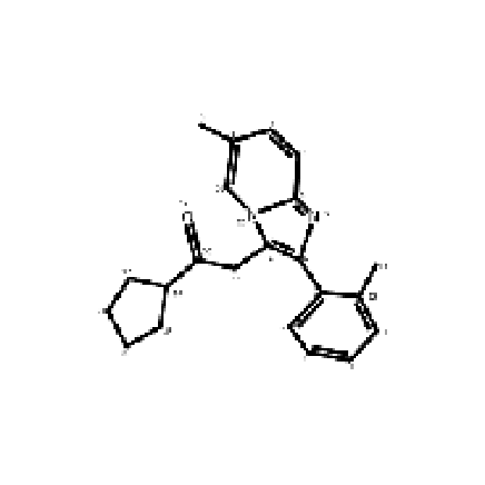 Cc1ccc2nc(-c3ccccc3C)c(CC(=O)C3CCCC3)n2c1